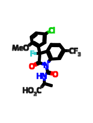 COc1ccc(Cl)cc1C1(F)C(=O)N(C(=O)NC(C)C(=O)O)c2cc(C(F)(F)F)ccc21